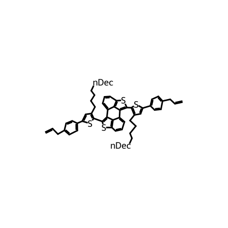 C=CCc1ccc(-c2cc(CCCCCCCCCCCCCC)c(-c3sc4cccc5c6c(-c7sc(-c8ccc(CC=C)cc8)cc7CCCCCCCCCCCCCC)sc7cccc(c3c45)c76)s2)cc1